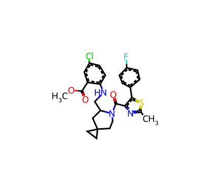 COC(=O)c1cc(Cl)ccc1NCC1CC2(CCN1C(=O)c1nc(C)sc1-c1ccc(F)cc1)CC2